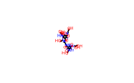 O=C(CO)Nc1c(I)c(C(=O)NCCCN(CCO)C(=O)c2c(I)c(NC(=O)CO)c(I)c(C(=O)N(O)CCCO)c2I)c(I)c(C(=O)NCC(O)CO)c1I